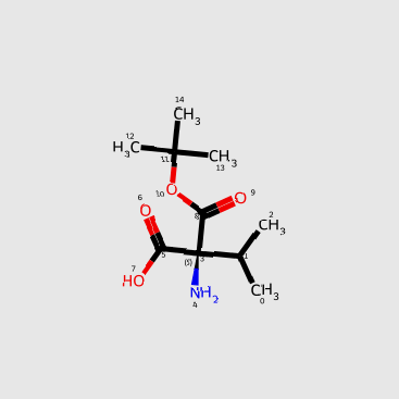 CC(C)[C@](N)(C(=O)O)C(=O)OC(C)(C)C